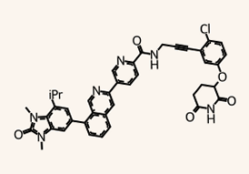 CC(C)c1cc(-c2cccc3cc(-c4ccc(C(=O)NCC#Cc5cc(OC6CCC(=O)NC6=O)ccc5Cl)nc4)ncc23)cc2c1n(C)c(=O)n2C